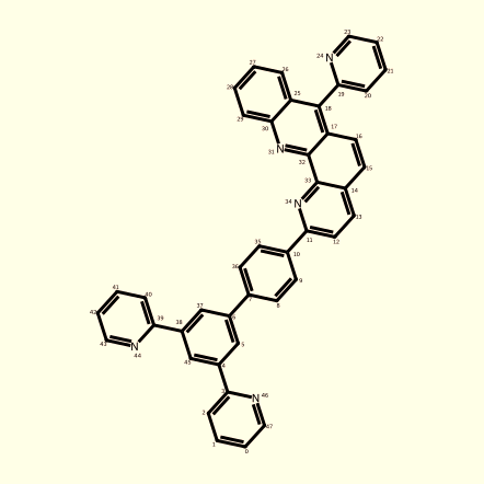 c1ccc(-c2cc(-c3ccc(-c4ccc5ccc6c(-c7ccccn7)c7ccccc7nc6c5n4)cc3)cc(-c3ccccn3)c2)nc1